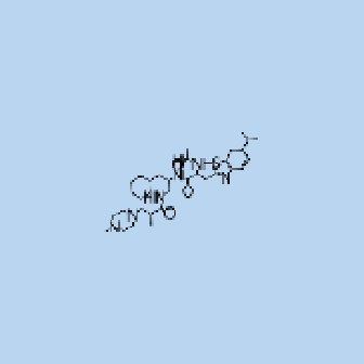 C=C(CN1CCN(C)CC1)C(=O)NCC(CC1CCCCC1)NC(=O)[C@H](Cc1nc2ccc(C(C)C)cc2s1)NC(C)=O